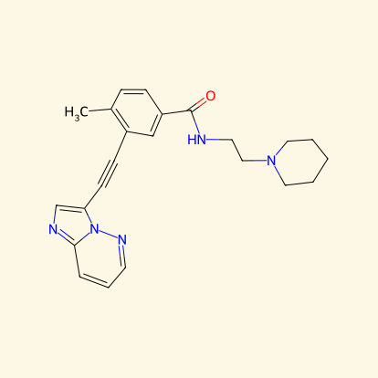 Cc1ccc(C(=O)NCCN2CCCCC2)cc1C#Cc1cnc2cccnn12